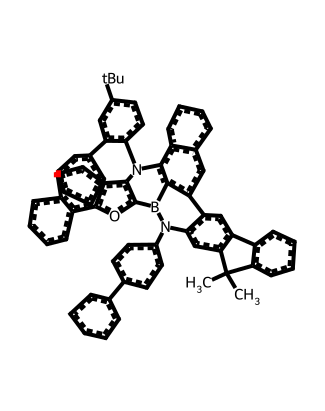 CC(C)(C)c1ccc(N2c3c4c(cc5ccccc35)-c3cc5c(cc3N(c3ccc(-c6ccccc6)cc3)B4c3oc4c(ccc6ccccc64)c32)C(C)(C)c2ccccc2-5)c(-c2ccccc2)c1